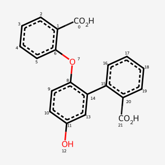 O=C(O)c1ccccc1Oc1ccc(O)cc1-c1ccccc1C(=O)O